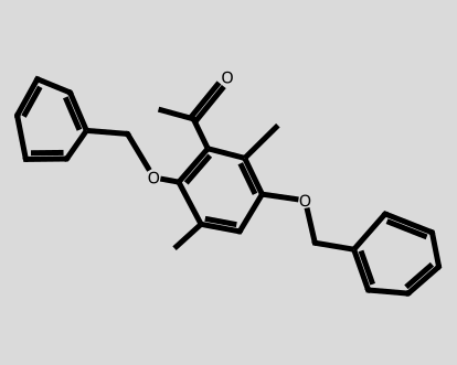 CC(=O)c1c(C)c(OCc2ccccc2)cc(C)c1OCc1ccccc1